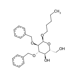 CCCCCO[C@H]1O[C@H](CO)[C@@H](O)[C@H](OCc2ccccc2)[C@H]1OCc1ccccc1